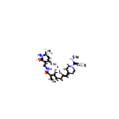 CNC(=NC#N)N1CCC(=CCCc2scc(C(=O)NCc3c(C)cc(C)[nH]c3=O)c2C)CC1